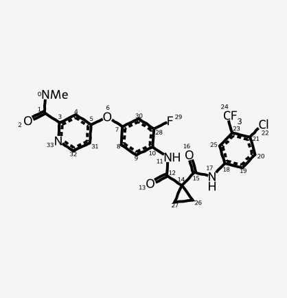 CNC(=O)c1cc(Oc2ccc(NC(=O)C3(C(=O)Nc4ccc(Cl)c(C(F)(F)F)c4)CC3)c(F)c2)ccn1